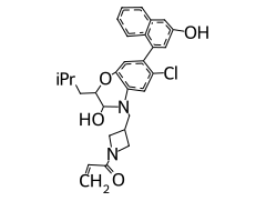 C=CC(=O)N1CC(CN2c3cc(Cl)c(-c4cc(O)cc5ccccc45)cc3OC(CC(C)C)C2O)C1